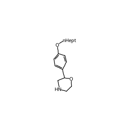 CCCCCCCOc1ccc(C2CNCCO2)cc1